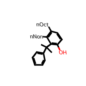 CCCCCCCCCc1c(CCCCCCCC)ccc(O)c1C(C)(C)c1ccccc1